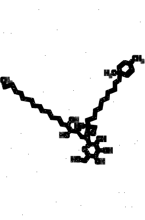 CCCCCCCCCCCCCC[C@@H](O)[C@@H](O)[C@H](COC1OC(CO)C(O)C(O)C1O)NC1(CCCCCCCCCCC2(C)C=CC(C)CC2)COC1